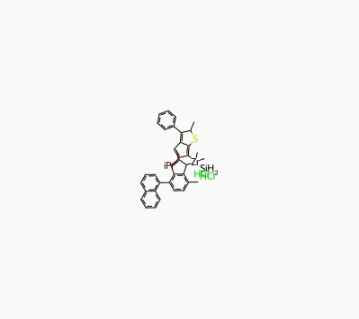 CC1=Cc2c(-c3cccc4ccccc34)ccc(C)c2[CH]1[Zr]([CH3])([CH3])(=[SiH2])[C]1=C2SC(C)C(c3ccccc3)=C2C=C1C(C)C.Cl.Cl